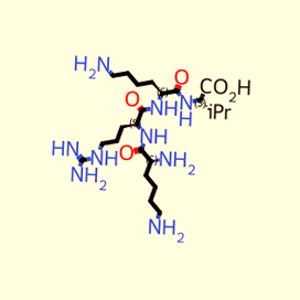 CC(C)[C@H](NC(=O)[C@H](CCCCN)NC(=O)[C@H](CCCNC(=N)N)NC(=O)[C@@H](N)CCCCN)C(=O)O